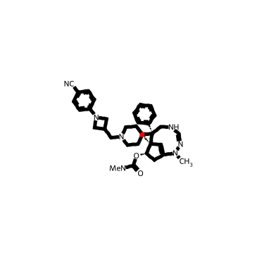 CNC(=O)O[C@H]1CC2=C[C@@H]1[C@@](c1ccccc1)(C1CCN(CC3CN(c4ccc(C#N)cc4)C3)CC1)CN/C=N\N2C